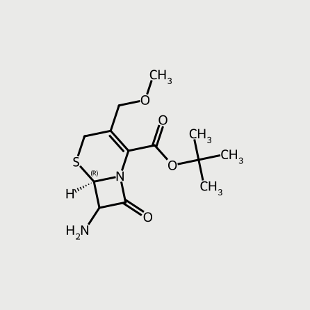 COCC1=C(C(=O)OC(C)(C)C)N2C(=O)C(N)[C@H]2SC1